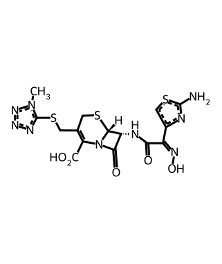 Cn1nnnc1SCC1=C(C(=O)O)N2C(=O)[C@@H](NC(=O)/C(=N\O)c3csc(N)n3)[C@H]2SC1